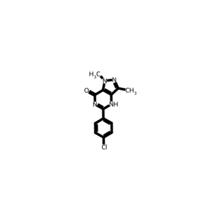 Cc1nn(C)c2c(=O)nc(-c3ccc(Cl)cc3)[nH]c12